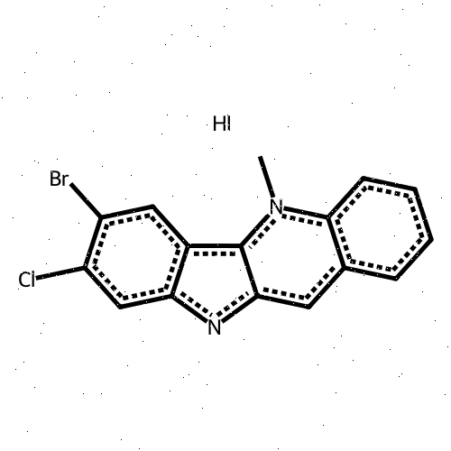 Cn1c2c3cc(Br)c(Cl)cc3nc-2cc2ccccc21.I